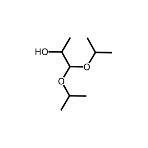 CC(C)OC(OC(C)C)C(C)O